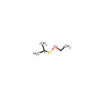 [CH2]COSC(C)C